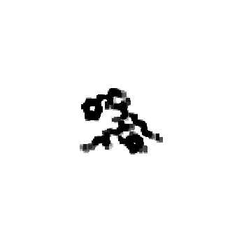 NCCCC[C@H](NC(=O)[C@H](Cc1c[nH]cn1)NC(=O)CN)C(=O)N[C@H]([C]=O)Cc1ccccc1